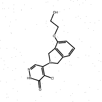 O=c1[nH]ncc(N2Cc3cccc(OCCO)c3C2)c1Cl